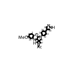 COc1cccc(NC2C(=O)N(c3ccc(-c4cn[nH]c4)cc3)CC23CN(C(C)=O)C3)c1